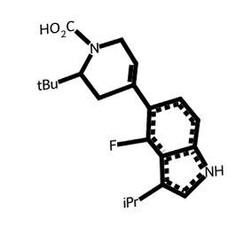 CC(C)c1c[nH]c2ccc(C3=CCN(C(=O)O)C(C(C)(C)C)C3)c(F)c12